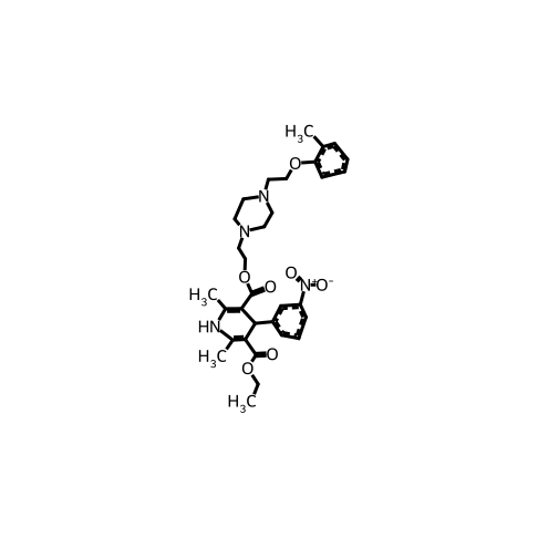 CCOC(=O)C1=C(C)NC(C)=C(C(=O)OCCN2CCN(CCOc3ccccc3C)CC2)C1c1cccc([N+](=O)[O-])c1